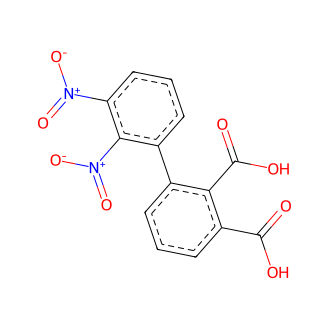 O=C(O)c1cccc(-c2cccc([N+](=O)[O-])c2[N+](=O)[O-])c1C(=O)O